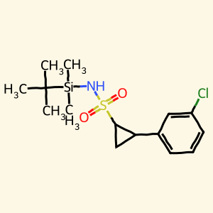 CC(C)(C)[Si](C)(C)NS(=O)(=O)C1CC1c1cccc(Cl)c1